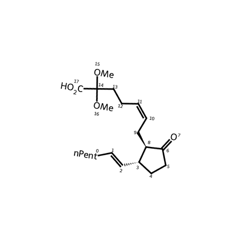 CCCCC/C=C/[C@H]1CCC(=O)[C@@H]1C/C=C\CCC(OC)(OC)C(=O)O